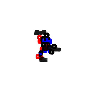 COc1ccc(Cn2nnc(-c3c(N4CCCC(=O)C4=O)ccc(S(=O)(=O)N[C@@H]4CCN(C(=O)OC(C)(C)C)C4)c3S(=O)(=O)N(CC3(OC)C=CC=CC3)CC3(OC)C=CC=CC3)n2)cc1